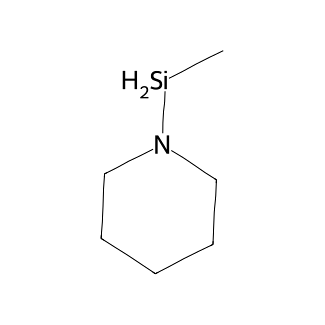 C[SiH2]N1CCCCC1